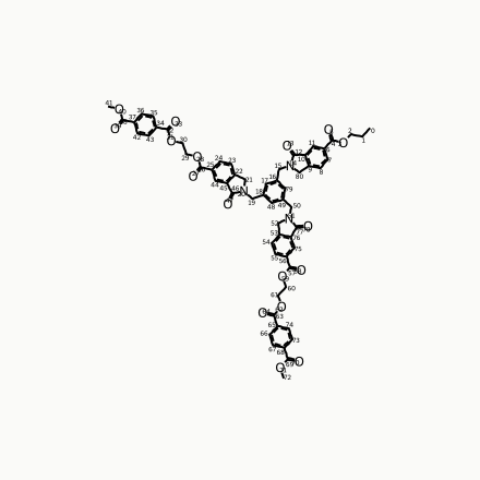 CCCOC(=O)c1ccc2c(c1)C(=O)N(Cc1cc(CN3Cc4ccc(C(=O)OCCOC(=O)c5ccc(C(=O)OC)cc5)cc4C3=O)cc(CN3Cc4ccc(C(=O)OCCOC(=O)c5ccc(C(=O)OC)cc5)cc4C3=O)c1)C2